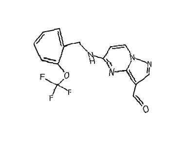 O=Cc1cnn2ccc(NCc3ccccc3OC(F)(F)F)nc12